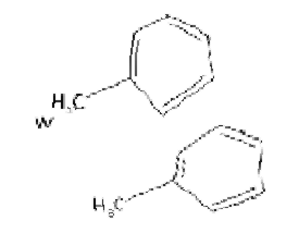 Cc1ccccc1.Cc1ccccc1.[W]